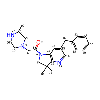 CC1CN(CC(=O)N2CC(C)(C)c3ncc(Cc4ccccc4)cc32)CCN1